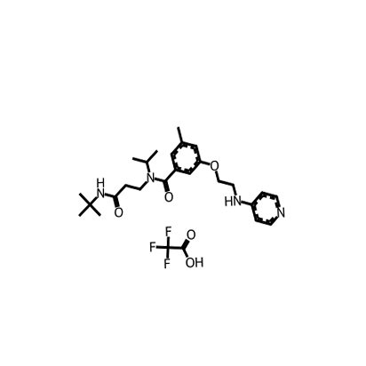 Cc1cc(OCCNc2ccncc2)cc(C(=O)N(CCC(=O)NC(C)(C)C)C(C)C)c1.O=C(O)C(F)(F)F